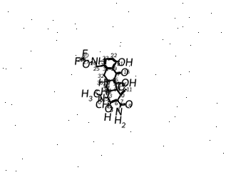 CN(C)[C@@H]1C(O)=C(C(N)=O)C2=CO[C@@]23C(O)=C2C(=O)c4c(O)ccc(CNOC(F)F)c4C[C@H]2C[C@@H]13